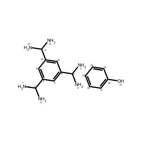 NC(N)c1cc(C(N)N)cc(C(N)N)c1.Oc1ccccc1